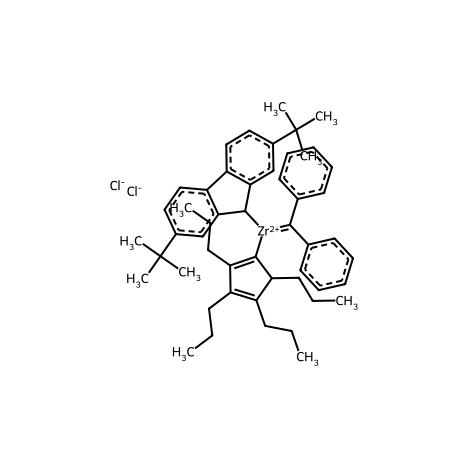 CCCC1=C(CCC)C(CCC)[C]([Zr+2](=[C](c2ccccc2)c2ccccc2)[CH]2c3cc(C(C)(C)C)ccc3-c3ccc(C(C)(C)C)cc32)=C1CCC.[Cl-].[Cl-]